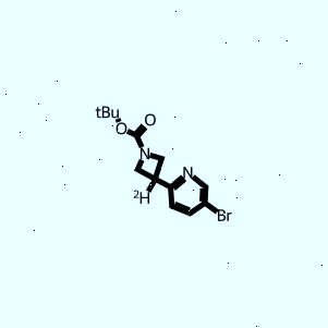 [2H]C1(c2ccc(Br)cn2)CN(C(=O)OC(C)(C)C)C1